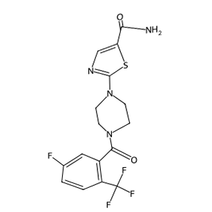 NC(=O)c1cnc(N2CCN(C(=O)c3cc(F)ccc3C(F)(F)F)CC2)s1